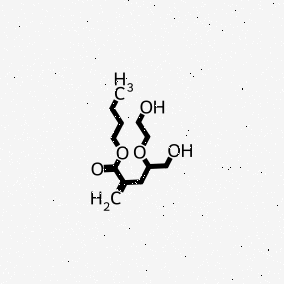 C=C(CC(CO)OCCO)C(=O)OCCCC